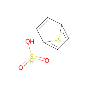 O=[SH](=O)O.c1cc2ccc1s2